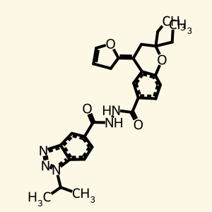 CCC1(CC)CC(=C2CC=CO2)c2cc(C(=O)NNC(=O)c3ccc4c(c3)nnn4C(C)C)ccc2O1